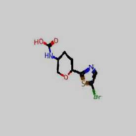 O=C(O)NC1CCC(c2ncc(Br)s2)OC1